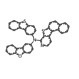 c1ccc2c(c1)ccc1sc3c(N(c4ccc5oc6ccccc6c5c4)c4ccc5sc6ccccc6c5c4)nccc3c12